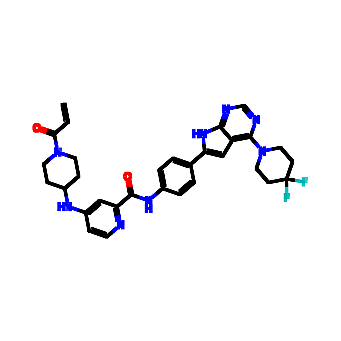 C=CC(=O)N1CCC(Nc2ccnc(C(=O)Nc3ccc(-c4cc5c(N6CCC(F)(F)CC6)ncnc5[nH]4)cc3)c2)CC1